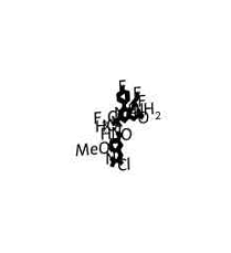 COc1cc(C(=O)NC[C@](O)(c2cc(CC(N)=O)c(OCC(F)F)c(-c3ccc(F)cc3)n2)C(F)(F)F)cc2cc(Cl)c(C)nc12